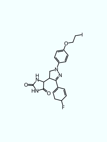 O=C1NC(=O)C(C2CN(c3ccc(OCCI)cc3)N=C2C2=CCC(F)C=C2)N1